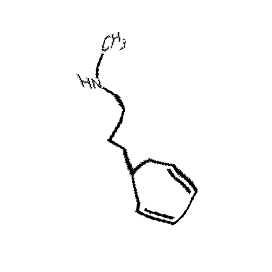 CNCCC1C=CC=C1